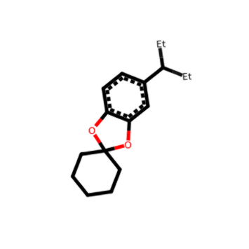 CCC(CC)c1ccc2c(c1)OC1(CCCCC1)O2